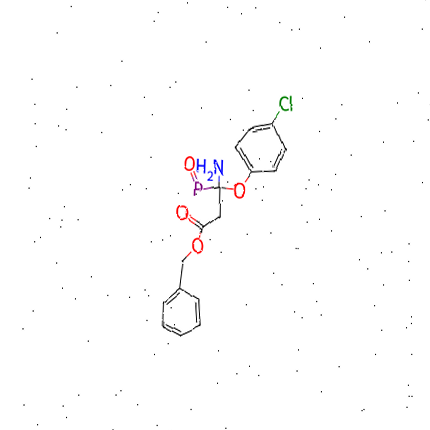 NC(CC(=O)OCc1ccccc1)(Oc1ccc(Cl)cc1)P=O